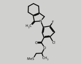 C=C1C2=C(CCCC2)CN1c1cc(C(=O)OC(C)CSC)c(Cl)cc1F